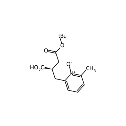 Cc1cccc(C[C@H](CC(=O)OC(C)(C)C)C(=O)O)[n+]1[O-]